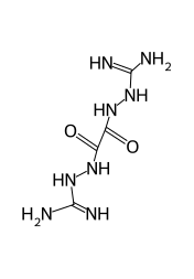 N=C(N)NNC(=O)C(=O)NNC(=N)N